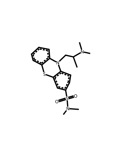 CC(CN1c2ccccc2Sc2cc(S(=O)(=O)N(C)C)ccc21)N(C)C